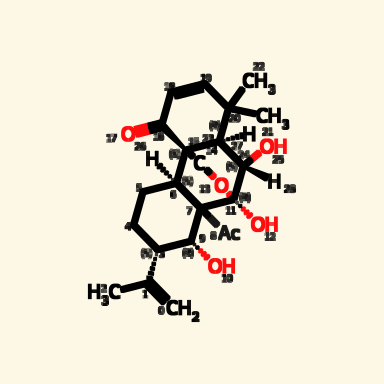 C=C(C)[C@@H]1CC[C@@H]2C(C(C)=O)([C@@H]1O)[C@@]1(O)OC[C@]23C(=O)C=CC(C)(C)[C@H]3[C@@H]1O